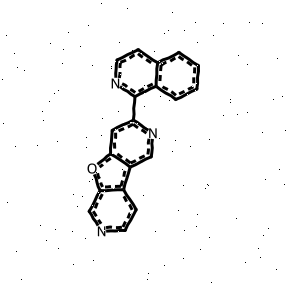 c1ccc2c(-c3cc4oc5cnccc5c4cn3)nccc2c1